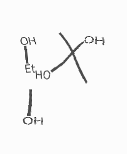 CC(C)(O)O.CCO.CO